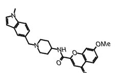 COc1ccc2c(=O)cc(C(=O)NC3CCN(Cc4ccc5c(ccn5C)c4)CC3)oc2c1